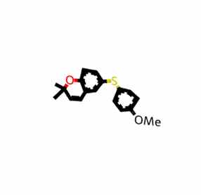 COc1ccc(Sc2ccc3c(c2)C=CC(C)(C)O3)cc1